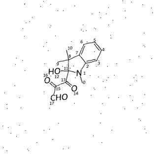 CN1c2ccccc2C(C)(C)C1(O)C(=O)C(=O)C=O